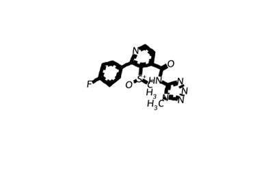 Cn1nnnc1NC(=O)c1ccnc(-c2ccc(F)cc2)c1[S+](C)[O-]